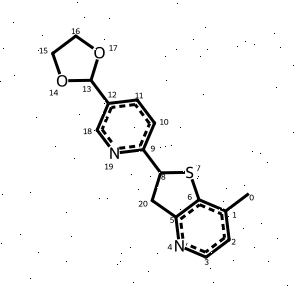 Cc1ccnc2c1SC(c1ccc(C3OCCO3)cn1)C2